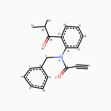 C#CC(=O)N(Cc1ccccc1)c1ccccc1C(=O)C(C)C